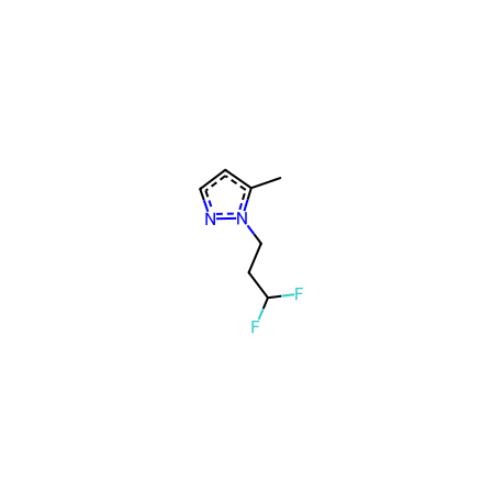 Cc1ccnn1CCC(F)F